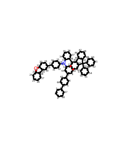 c1ccc(-c2ccc(-c3cccc(N(c4ccc(-c5ccc6oc7ccccc7c6c5)cc4)c4ccccc4-c4cccc5c4-c4ccccc4C5(c4ccccc4)c4ccccc4)c3)cc2)cc1